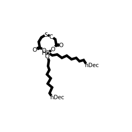 CCCCCCCCCCCCCCCCCCO[PH]1(CCCCCCCCCCCCCCCCCC)OC(=O)CCSCCC(=O)O1